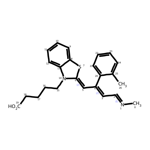 C/N=C/C=C(/C=C1\Sc2ccccc2N1CCCCC(=O)O)c1ccccc1C